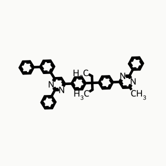 CCC(CC)(c1ccc(-c2cc(C)nc(-c3ccccc3)n2)cc1)c1ccc(-c2cc(-c3cccc(-c4ccccc4)c3)nc(-c3ccccc3)n2)cc1